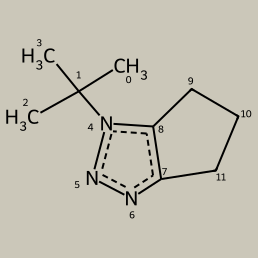 CC(C)(C)n1nnc2c1CCC2